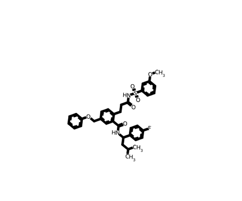 COc1cccc(S(=O)(=O)NC(=O)CCc2ccc(COc3ccccc3)cc2C(=O)NC(CC(C)C)c2ccc(F)cc2)c1